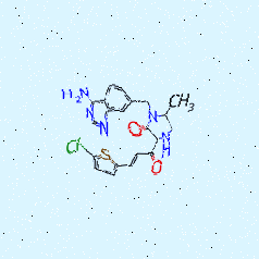 CC1CNC(C(=O)C=Cc2ccc(Cl)s2)C(=O)N1Cc1ccc2c(N)ncnc2c1